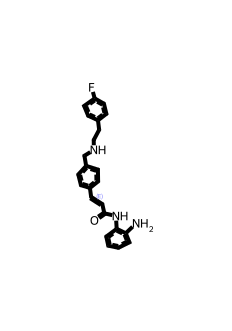 Nc1ccccc1NC(=O)/C=C/c1ccc(CNCCc2ccc(F)cc2)cc1